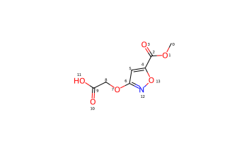 COC(=O)c1cc(OCC(=O)O)no1